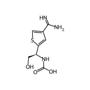 N=C(N)c1csc([C@H](CO)NC(=O)O)c1